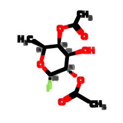 CC(=O)O[C@H]1[C@@H](O)[C@H](OC(C)=O)[C@H](F)O[C@H]1C